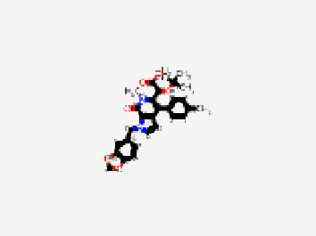 Cc1ccc(-c2c(C(OC(C)(C)C)C(=O)O)n(C)c(=O)c3c2ccn3Cc2ccc3c(c2)OCO3)cc1